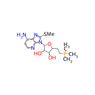 C=P(C)(C)CCC1OC(n2c(SC)nc3c(N)ccnc32)[C@H](O)[C@@H]1O